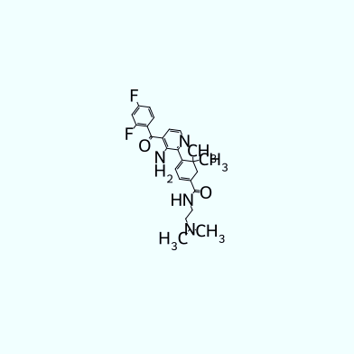 CN(C)CCNC(=O)C1=CC=C(c2nccc(C(=O)c3ccc(F)cc3F)c2N)C(C)(C)C1